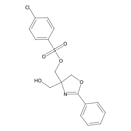 O=S(=O)(OCC1(CO)COC(c2ccccc2)=N1)c1ccc(Cl)cc1